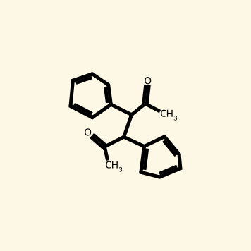 CC(=O)C(c1ccccc1)C(C(C)=O)c1ccccc1